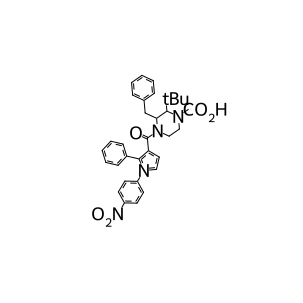 CC(C)(C)C1C(Cc2ccccc2)N(C(=O)c2ccn(-c3ccc([N+](=O)[O-])cc3)c2-c2ccccc2)CCN1C(=O)O